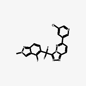 Cn1cc2c(F)c(C(F)(F)c3nnc4ccc(-c5cncc(Cl)c5)nn34)ccc2n1